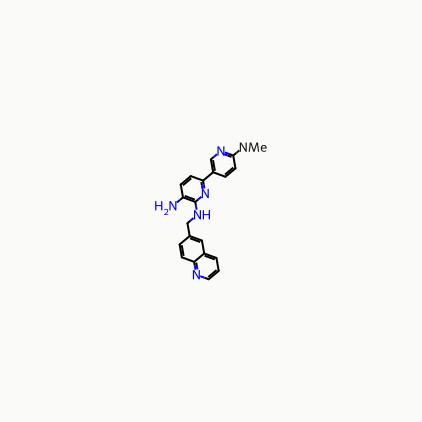 CNc1ccc(-c2ccc(N)c(NCc3ccc4ncccc4c3)n2)cn1